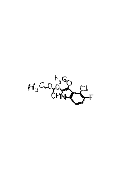 CCOC(=O)Oc1[nH]c2ccc(F)c(Cl)c2c1OC